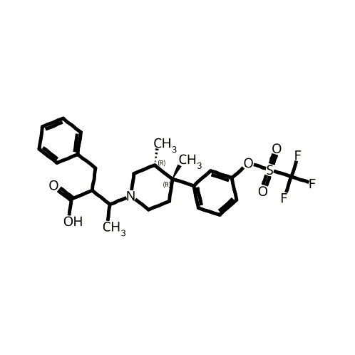 CC(C(Cc1ccccc1)C(=O)O)N1CC[C@@](C)(c2cccc(OS(=O)(=O)C(F)(F)F)c2)[C@@H](C)C1